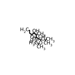 C=CC[C@H](C)[C@@H](O)[C@H](C)C(=O)C(C)(C)C(OC(C)C)OC(C)C